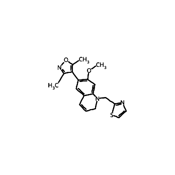 COc1cc2c(cc1-c1c(C)noc1C)C=CCN2Cc1nccs1